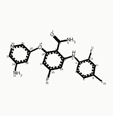 NC(=O)c1c(Nc2ccc(I)cc2F)cc(F)cc1Oc1cncc(N)c1